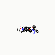 CN1C(=O)C=C[C@]2(C)[C@H]3CC[C@]4(C)[C@H](C(=O)NC(c5ccccc5)c5ccccc5)CC[C@H]4[C@@H]3CC[C@@H]12